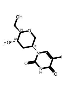 O=c1[nH]c(=O)n([C@H]2CO[C@H](CO)[C@@H](O)C2)cc1I